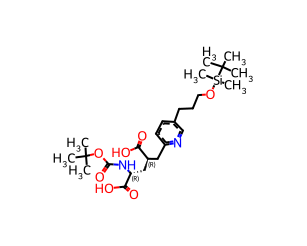 CC(C)(C)OC(=O)N[C@H](C[C@H](Cc1ccc(CCCO[Si](C)(C)C(C)(C)C)cn1)C(=O)O)C(=O)O